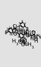 CCC[C@H](NC[C@H](Cc1ccccc1)NC(=O)c1cc(C(=O)N[C@H](C)c2ccc(F)cc2)cc(N(C)S(C)(=O)=O)c1)C(=O)NCC(C)C